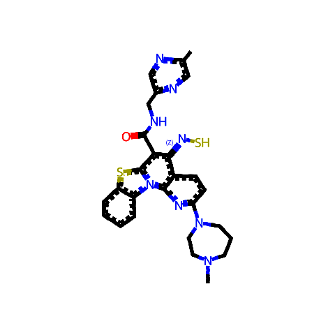 Cc1cnc(CNC(=O)c2/c(=N/S)c3ccc(N4CCCN(C)CC4)nc3n3c2sc2ccccc23)cn1